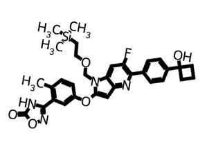 Cc1ccc(Oc2cc3nc(-c4ccc(C5(O)CCC5)cc4)c(F)cc3n2COCC[Si](C)(C)C)cc1-c1noc(=O)[nH]1